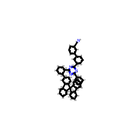 N#Cc1cccc(-c2cccc(-c3nc(-c4ccccc4)nc(-c4ccccc4-c4ccc5c(c4)-c4ccccc4C54c5ccccc5-c5ccccc54)n3)c2)c1